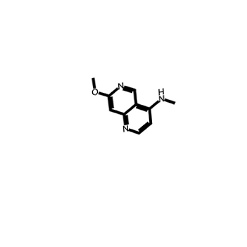 CNc1ccnc2cc(OC)ncc12